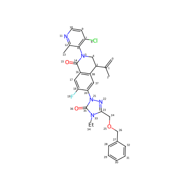 C=C(C)C1CN(c2c(Cl)ccnc2C)C(=O)c2cc(F)c(-n3nc(COCc4ccccc4)n(CC)c3=O)cc21